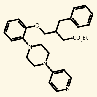 CCOC(=O)CC(COc1ccccc1N1CCN(c2ccncc2)CC1)Cc1ccccc1